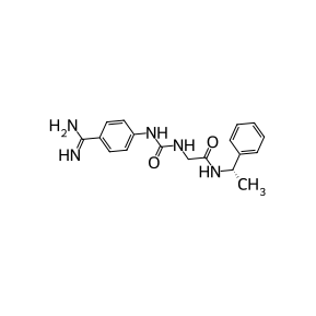 C[C@H](NC(=O)CNC(=O)Nc1ccc(C(=N)N)cc1)c1ccccc1